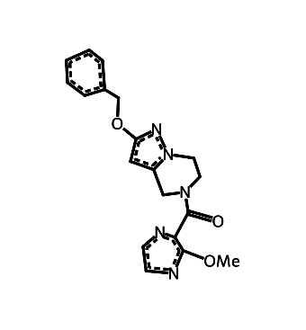 COc1nccnc1C(=O)N1CCn2nc(OCc3ccccc3)cc2C1